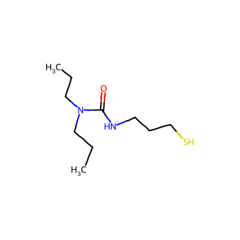 CCCN(CCC)C(=O)NCCCS